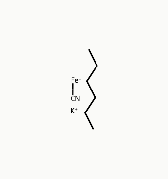 CCCCCC.N#[C][Fe-].[K+]